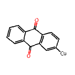 O=C1c2ccccc2C(=O)c2c[c]([Cu])ccc21